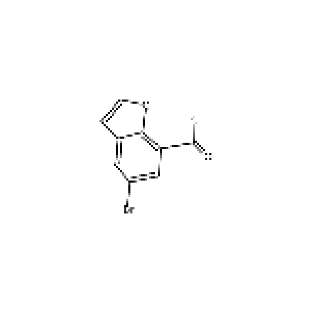 O=C(Cl)c1cc(Br)cc2ccoc12